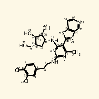 Cc1nc(NCCc2ccc(Cl)c(Cl)c2)nc(N[C@@H]2C[C@H](CO)[C@@H](O)[C@H]2O)c1-c1nc2cnccc2s1